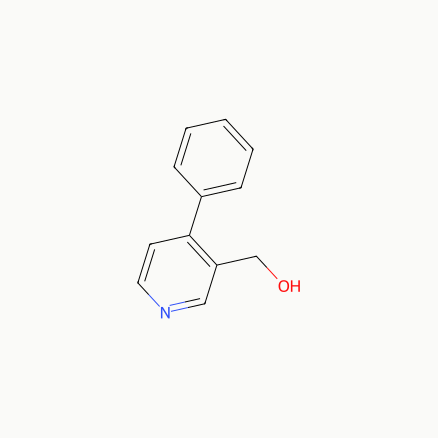 OCc1cnccc1-c1ccccc1